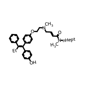 CCCCCCCN(C)C(=O)C=CCN(C)CCOc1ccc(C(=C(CC)c2ccccc2)c2ccc(O)cc2)cc1